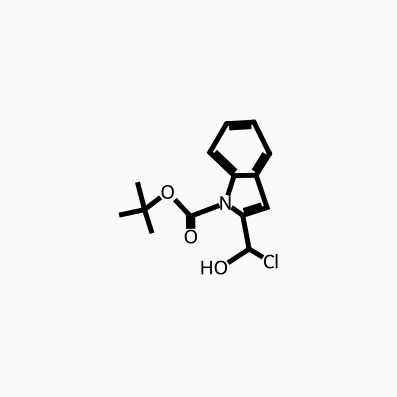 CC(C)(C)OC(=O)n1c(C(O)Cl)cc2ccccc21